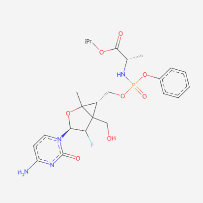 CC(C)OC(=O)[C@H](C)NP(=O)(OC[C@H]1C2(C)O[C@H](n3ccc(N)nc3=O)C(F)C12CO)Oc1ccccc1